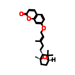 C/C(=C\COc1ccc2ccc(=O)oc2c1)CC[C@@H]1C(C)(C)[C@H]2CC[C@]1(C)O2